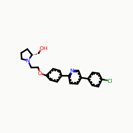 OC[C@H]1CCCN1CCOc1ccc(-c2ccc(-c3ccc(Cl)cc3)cn2)cc1